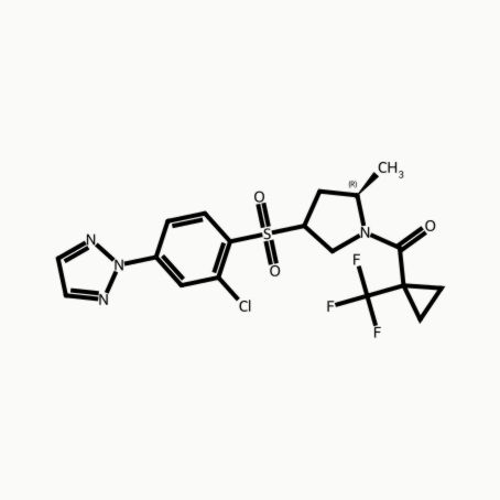 C[C@@H]1CC(S(=O)(=O)c2ccc(-n3nccn3)cc2Cl)CN1C(=O)C1(C(F)(F)F)CC1